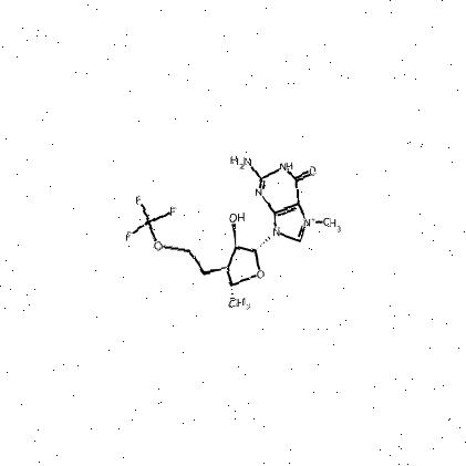 C[C@H]1O[C@@H](n2c[n+](C)c3c(=O)[nH]c(N)nc32)[C@H](O)[C@@H]1CCOC(F)(F)F